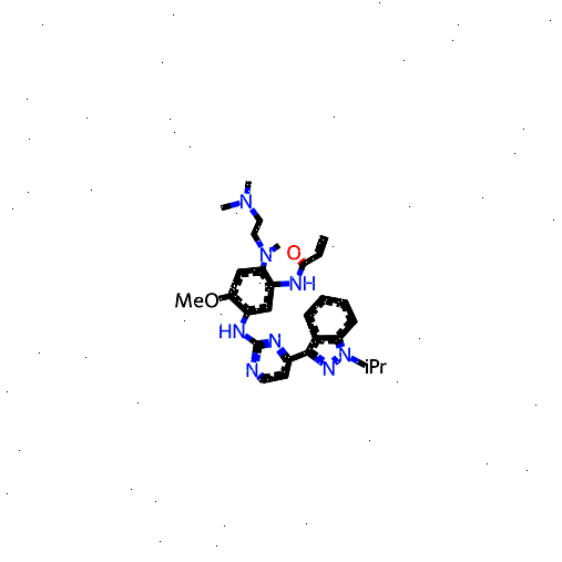 C=CC(=O)Nc1cc(Nc2nccc(-c3nn(C(C)C)c4ccccc34)n2)c(OC)cc1N(C)CCN(C)C